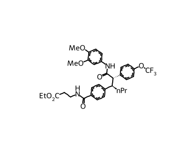 CCC[C@@H](c1ccc(C(=O)NCCC(=O)OCC)cc1)[C@H](C(=O)Nc1ccc(OC)c(OC)c1)c1ccc(OC(F)(F)F)cc1